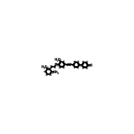 Cc1cc(C#Cc2ccc(-c3ccc(Cl)cc3)cn2)ccc1OCCN1C(C)CCCC1C